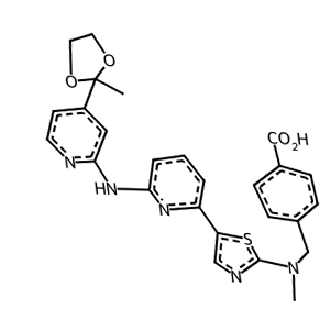 CN(Cc1ccc(C(=O)O)cc1)c1ncc(-c2cccc(Nc3cc(C4(C)OCCO4)ccn3)n2)s1